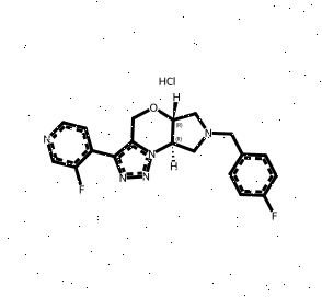 Cl.Fc1ccc(CN2C[C@@H]3[C@@H](C2)OCc2c(-c4ccncc4F)nnn23)cc1